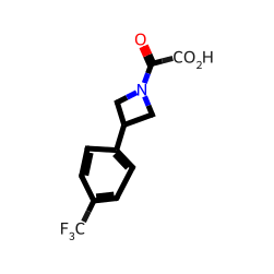 O=C(O)C(=O)N1CC(c2ccc(C(F)(F)F)cc2)C1